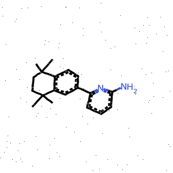 CC1(C)CCC(C)(C)c2cc(-c3cccc(N)n3)ccc21